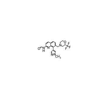 Cn1cc(-c2c(CN3CCO[C@@H](C(F)(F)F)C3)ccc3ccc(NC=O)nc23)cn1